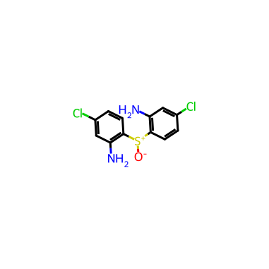 Nc1cc(Cl)ccc1[S+]([O-])c1ccc(Cl)cc1N